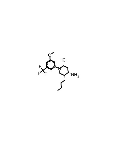 CCCC[C@@H]1CN(c2cc(OC)cc(C(F)(F)F)c2)CC[C@@H]1N.Cl